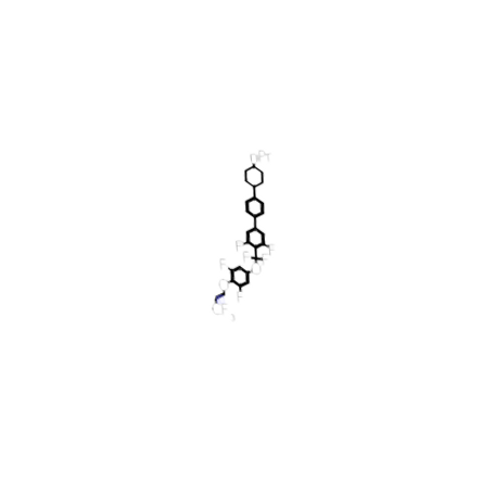 CCCC1CCC(c2ccc(-c3cc(F)c(C(F)(F)Oc4cc(F)c(O/C=C/C(F)(F)F)c(F)c4)c(F)c3)cc2)CC1